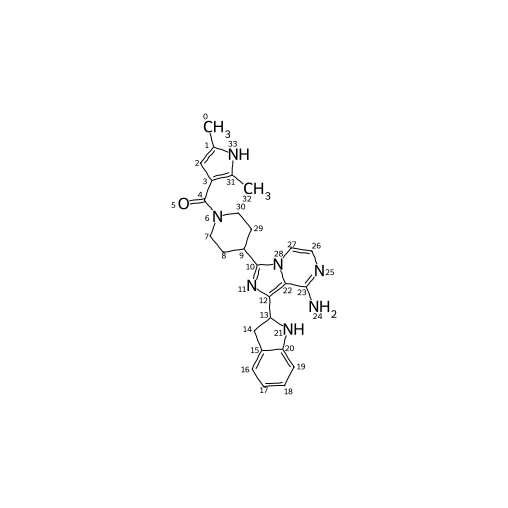 Cc1cc(C(=O)N2CCC(c3nc(C4Cc5ccccc5N4)c4c(N)nccn34)CC2)c(C)[nH]1